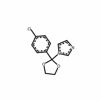 Clc1ccc(C2(n3ccnc3)OCCO2)cc1